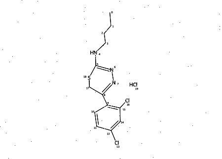 CCCCNC1=NN=C(c2ccc(Cl)cc2Cl)CS1.Cl